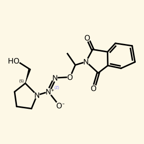 CC(O/N=[N+](\[O-])N1CCC[C@H]1CO)N1C(=O)c2ccccc2C1=O